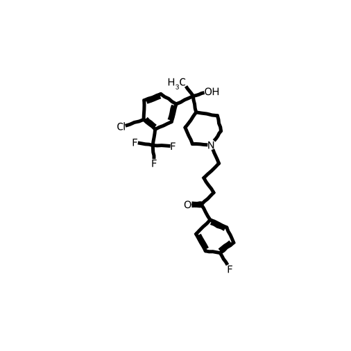 CC(O)(c1ccc(Cl)c(C(F)(F)F)c1)C1CCN(CCCC(=O)c2ccc(F)cc2)CC1